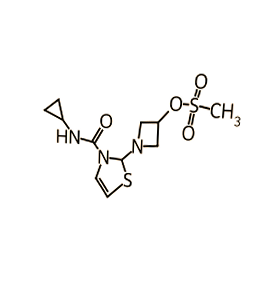 CS(=O)(=O)OC1CN(C2SC=CN2C(=O)NC2CC2)C1